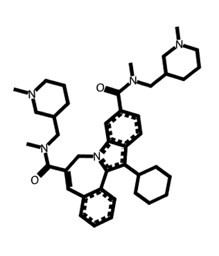 CN1CCCC(CN(C)C(=O)C2=Cc3ccccc3-c3c(C4CCCCC4)c4ccc(C(=O)N(C)CC5CCCN(C)C5)cc4n3C2)C1